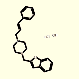 C(=C\c1ccccc1)/CN1CCN(Cc2cc3ccccc3o2)CC1.Cl.Cl